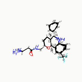 NCCC(=O)NC[C@H]1CC[C@@H]2[C@H](O1)c1cc(C(F)(F)F)ccc1N[C@H]2c1ccccc1